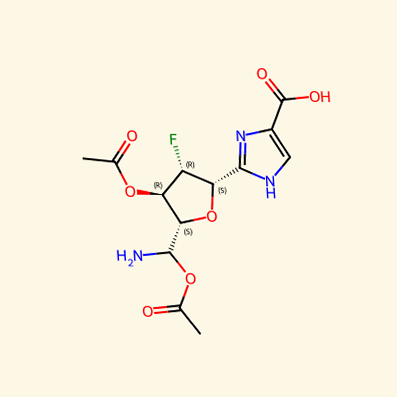 CC(=O)OC(N)[C@H]1O[C@@H](c2nc(C(=O)O)c[nH]2)[C@@H](F)[C@@H]1OC(C)=O